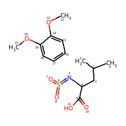 CC(C)CC(N=S(=O)=O)C(=O)O.COc1ccccc1OC